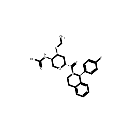 CCO[C@H]1C[C@H](C(=O)N2CCc3ccccc3[C@@H]2c2ccc(F)cc2)OC[C@H]1NC(=O)O